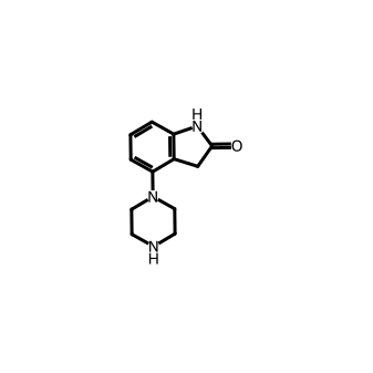 O=C1Cc2c(cccc2N2CCNCC2)N1